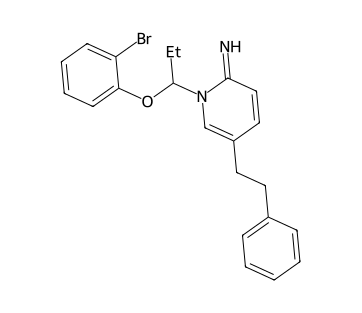 CCC(Oc1ccccc1Br)n1cc(CCc2ccccc2)ccc1=N